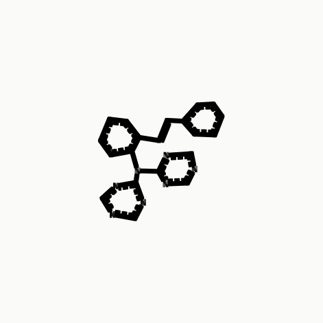 C(=C\c1ccccc1N(c1ncncn1)c1ncncn1)/c1ccccc1